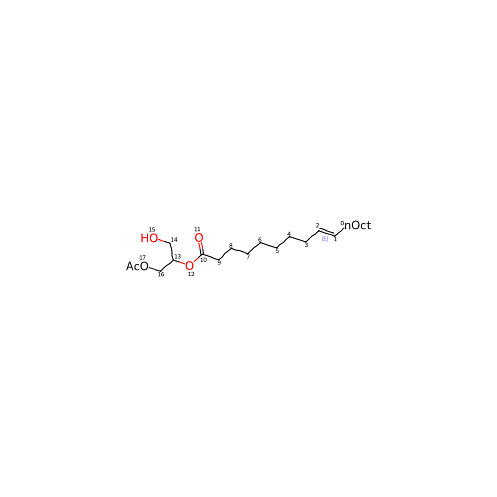 CCCCCCCC/C=C/CCCCCCCC(=O)OC(CO)COC(C)=O